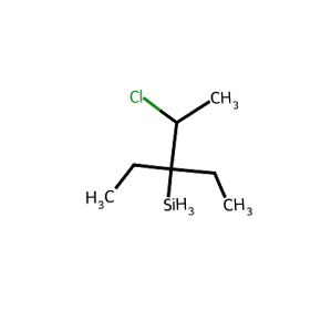 CCC([SiH3])(CC)C(C)Cl